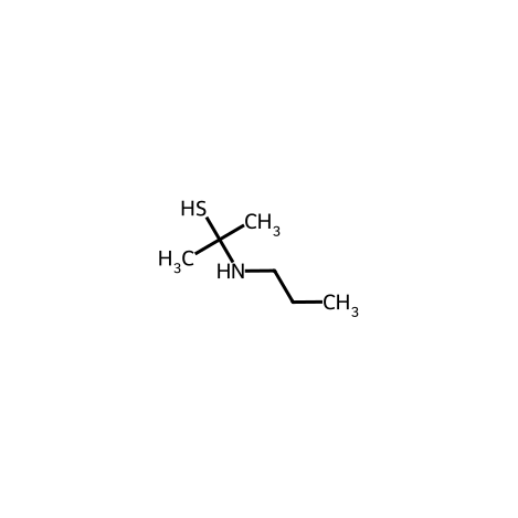 CCCNC(C)(C)S